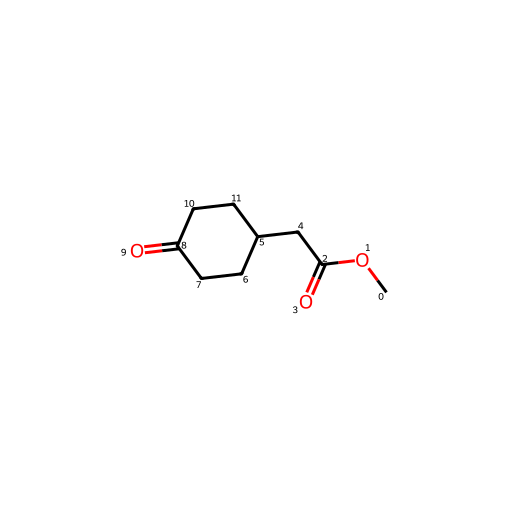 COC(=O)CC1CCC(=O)CC1